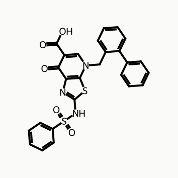 O=C(O)c1cn(Cc2ccccc2-c2ccccc2)c2sc(NS(=O)(=O)c3ccccc3)nc2c1=O